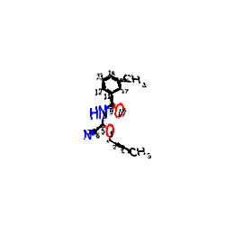 CC#CCOC(C#N)NC(=O)c1cccc(C)c1